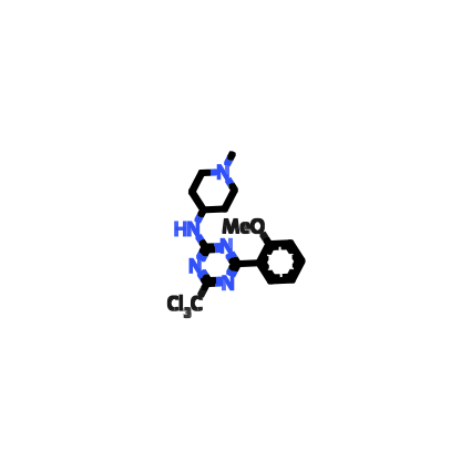 COc1ccccc1-c1nc(NC2CCN(C)CC2)nc(C(Cl)(Cl)Cl)n1